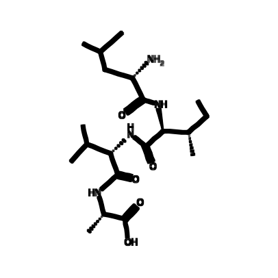 CC[C@H](C)[C@H](NC(=O)[C@@H](N)CC(C)C)C(=O)N[C@H](C(=O)N[C@@H](C)C(=O)O)C(C)C